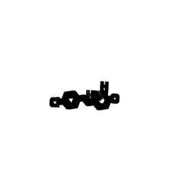 O=C1CCC(/C=C/c2ccc(Cl)cc2)NN1